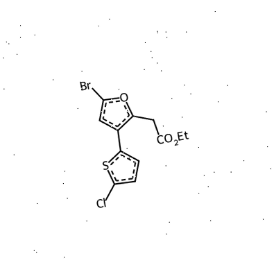 CCOC(=O)Cc1oc(Br)cc1-c1ccc(Cl)s1